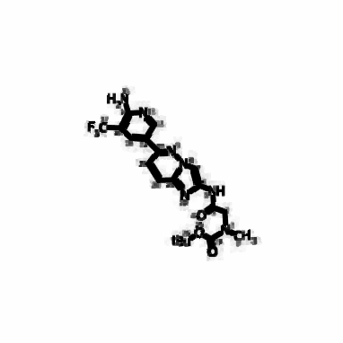 CN(CC(=O)Nc1cn2nc(-c3cnc(N)c(C(F)(F)F)c3)ccc2n1)C(=O)OC(C)(C)C